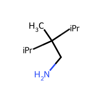 CC(C)C(C)(CN)C(C)C